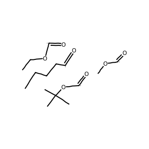 CC(C)(C)O[C]=O.CCCC[C]=O.CCO[C]=O.CO[C]=O